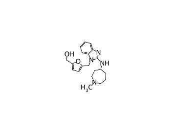 CN1CCCC(Nc2nc3ccccc3n2Cc2ccc(CO)o2)CC1